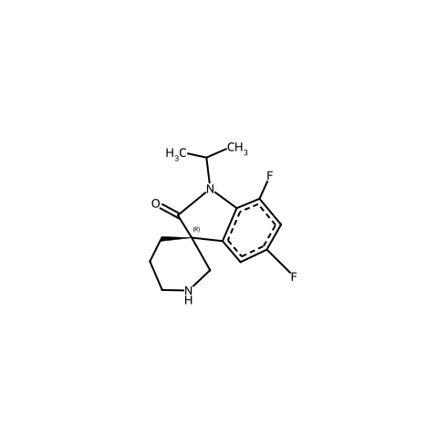 CC(C)N1C(=O)[C@]2(CCCNC2)c2cc(F)cc(F)c21